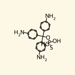 Nc1ccc(C(OP(O)(O)=S)(c2ccc(N)cc2)c2ccc(N)cc2)cc1